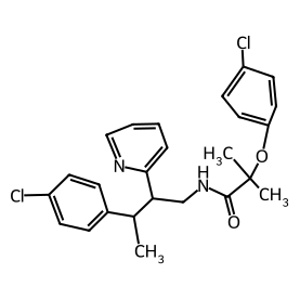 CC(c1ccc(Cl)cc1)C(CNC(=O)C(C)(C)Oc1ccc(Cl)cc1)c1ccccn1